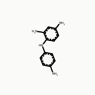 Nc1ccc(Nc2[c]cc(N)cc2N)cc1